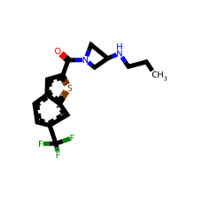 CCCNC1CN(C(=O)c2cc3ccc(C(F)(F)F)cc3s2)C1